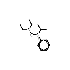 CC[SiH](CC)O[SiH](c1ccccc1)C(C)C